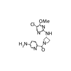 COc1nc(N[C@@H]2CCN(C(=O)c3ccc(N)cn3)C2)ncc1Cl